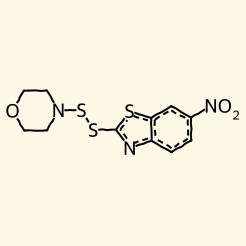 O=[N+]([O-])c1ccc2nc(SSN3CCOCC3)sc2c1